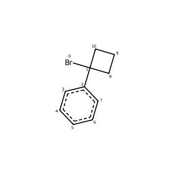 BrC1(c2[c]cccc2)CCC1